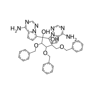 Nc1ncnn2c(C(O)(c3ccc4c(N)ncnn34)C(OCc3ccccc3)C(OCc3ccccc3)C(O)COCc3ccccc3)ccc12